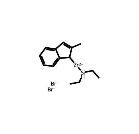 CC[SiH](CC)[Zr+2][CH]1C(C)=Cc2ccccc21.[Br-].[Br-]